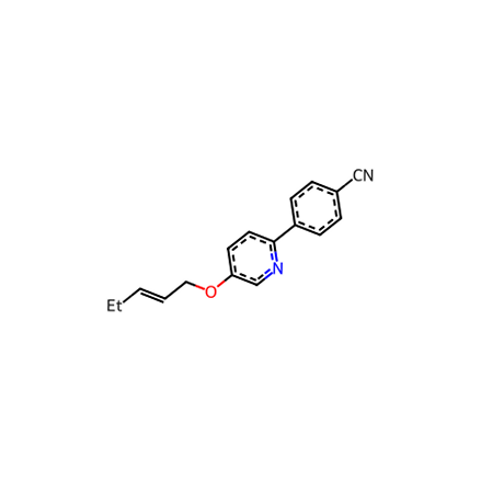 CCC=CCOc1ccc(-c2ccc(C#N)cc2)nc1